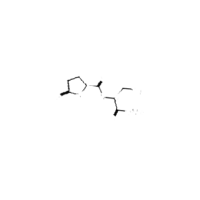 COC(=O)[C@H](CS)NC(=O)[C@@H]1CCC(=O)N1